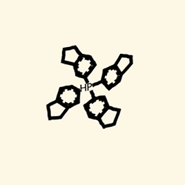 c1cc2c(cc1[PH](c1ccc3c(c1)CCC3)(c1ccc3c(c1)CCC3)c1ccc3c(c1)CCC3)CCC2